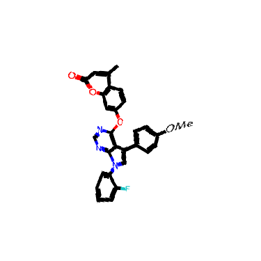 COc1ccc(-c2cn(-c3ccccc3F)c3ncnc(Oc4ccc5c(C)cc(=O)oc5c4)c23)cc1